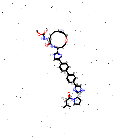 COC(=O)N[C@H]1CC/C=C\COCC[C@@H](c2nc(-c3ccc(-c4ccc(-c5c[nH]c([C@@H]6CCCN6C(=O)[C@@H](C)C(C)C)n5)cc4)cc3)c[nH]2)NC1=O